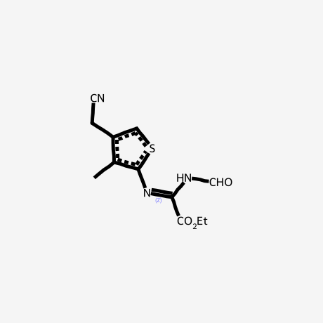 CCOC(=O)/C(=N/c1scc(CC#N)c1C)NC=O